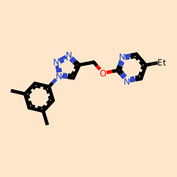 CCc1cnc(OCc2cn(-c3cc(C)cc(C)c3)nn2)nc1